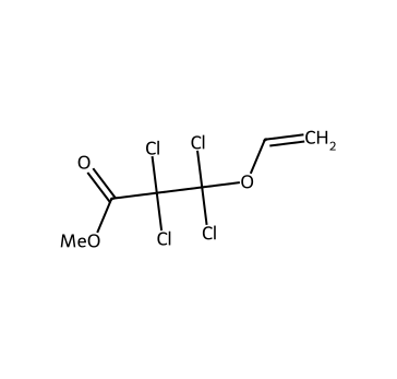 C=COC(Cl)(Cl)C(Cl)(Cl)C(=O)OC